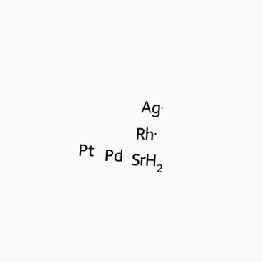 [Ag].[Pd].[Pt].[Rh].[SrH2]